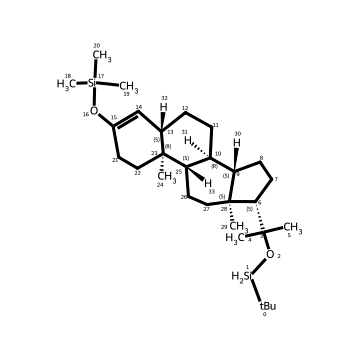 CC(C)(C)[SiH2]OC(C)(C)[C@H]1CC[C@H]2[C@@H]3CC[C@H]4C=C(O[Si](C)(C)C)CC[C@]4(C)[C@H]3CC[C@]12C